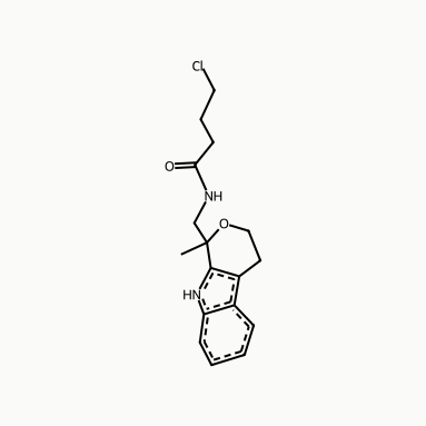 CC1(CNC(=O)CCCCl)OCCc2c1[nH]c1ccccc21